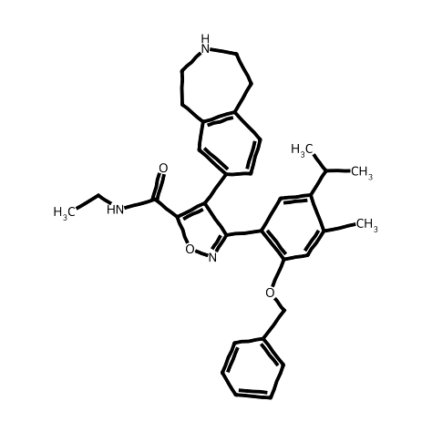 CCNC(=O)c1onc(-c2cc(C(C)C)c(C)cc2OCc2ccccc2)c1-c1ccc2c(c1)CCNCC2